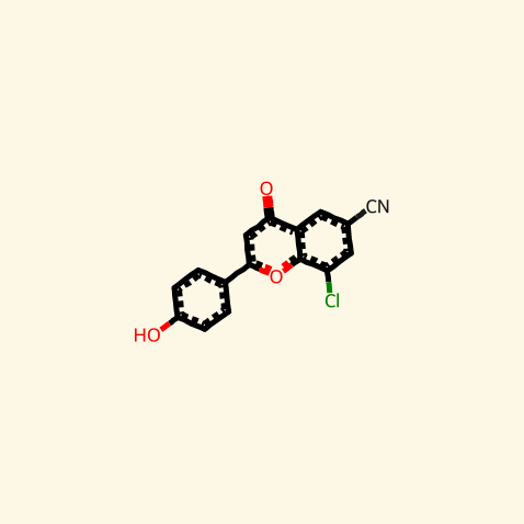 N#Cc1cc(Cl)c2oc(-c3ccc(O)cc3)cc(=O)c2c1